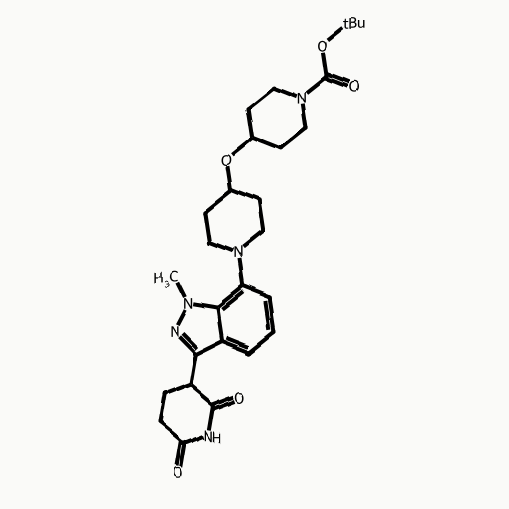 Cn1nc(C2CCC(=O)NC2=O)c2cccc(N3CCC(OC4CCN(C(=O)OC(C)(C)C)CC4)CC3)c21